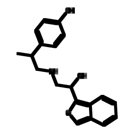 CC(CNCC(O)c1occ2ccccc12)c1ccc(O)cc1